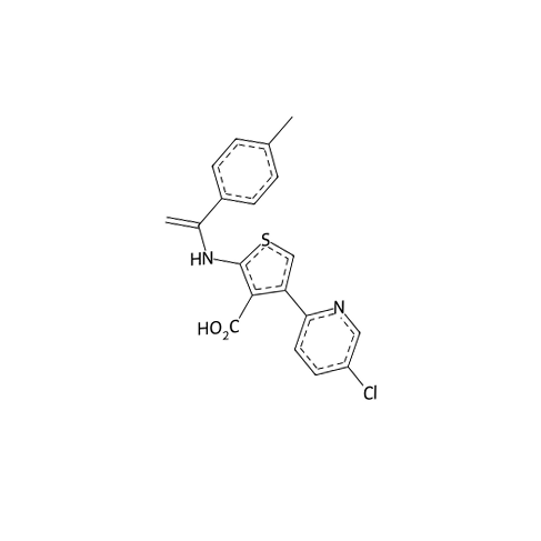 C=C(Nc1scc(-c2ccc(Cl)cn2)c1C(=O)O)c1ccc(C)cc1